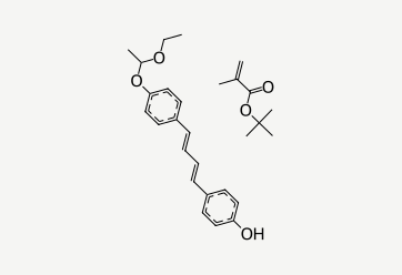 C=C(C)C(=O)OC(C)(C)C.CCOC(C)Oc1ccc(C=CC=Cc2ccc(O)cc2)cc1